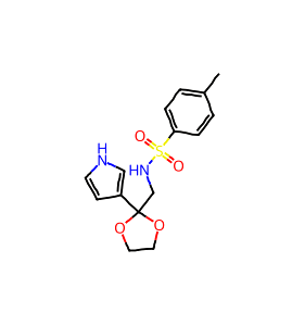 Cc1ccc(S(=O)(=O)NCC2(c3cc[nH]c3)OCCO2)cc1